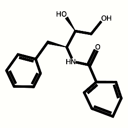 O=C(N[C@@H](Cc1ccccc1)[C@@H](O)CO)c1ccccc1